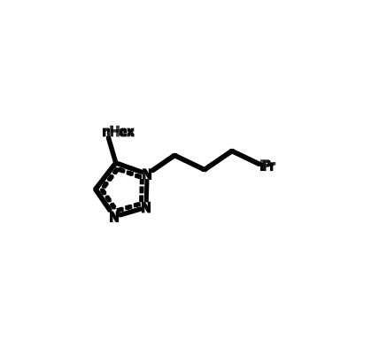 CCCCCCc1cnnn1CCCC(C)C